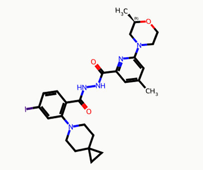 Cc1cc(C(=O)NNC(=O)c2ccc(I)cc2N2CCC3(CC2)CC3)nc(N2CCO[C@H](C)C2)c1